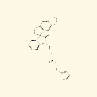 O=C(NCCN1C(=O)C2(COc3cc4c(cc32)OCO4)c2ccccc21)NCc1ccco1